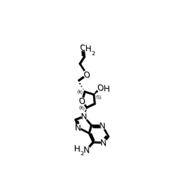 C=CCOC[C@H]1O[C@@H](n2cnc3c(N)ncnc32)C[C@@H]1O